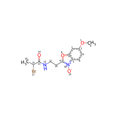 COc1ccc2c(c1)oc(CCNC(=O)C(C)Br)[n+]2[O-]